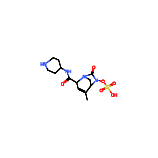 CC1=CC(C(=O)NC2CCNCC2)N2CC1N(OS(=O)(=O)O)C2=O